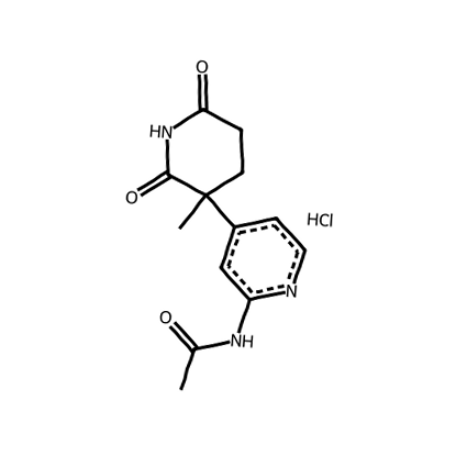 CC(=O)Nc1cc(C2(C)CCC(=O)NC2=O)ccn1.Cl